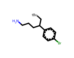 CC(C)(C)CC(CCCN)c1ccc(Br)cc1